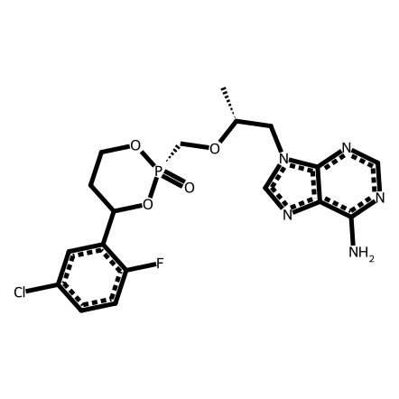 C[C@H](Cn1cnc2c(N)ncnc21)OC[P@@]1(=O)OCCC(c2cc(Cl)ccc2F)O1